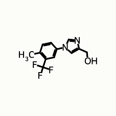 Cc1ccc(-n2cnc(CO)c2)cc1C(F)(F)F